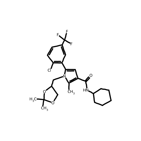 Cc1c(C(=O)NC2CCCCC2)cc(-c2cc(C(F)(F)F)ccc2Cl)n1CC1COC(C)(C)O1